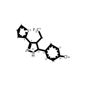 FC(F)(F)CC1C(c2cccs2)=NNC1c1ccc(Cl)cc1